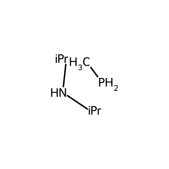 CC(C)NC(C)C.CP